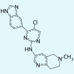 CN1CCc2ncc(Nc3ncc(Cl)c(-c4ccc5[nH]cnc5c4)n3)cc2C1